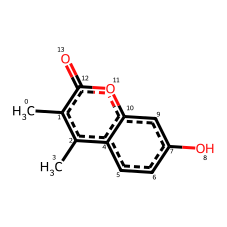 Cc1c(C)c2ccc(O)cc2oc1=O